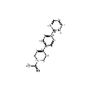 O=C(O)N1CC=C(c2ccc(-c3ncccn3)cn2)CC1